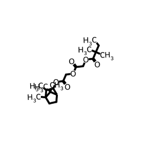 CCC(C)(C)C(=O)OCC(=O)OCC(=O)OC1C2CCC(C)(C1C)C2(C)C